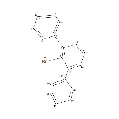 Brc1c(-c2ccccc2)cccc1-c1ccccc1